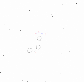 CN(C(=O)OC(C)(C)C)c1cc(Oc2ccc(C(=O)c3ccccc3)c(O)c2)ccc1[N+](=O)[O-]